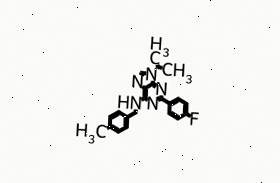 Cc1ccc(CNc2nc(-c3ccc(F)cc3)nc3c2ncn3C(C)C)cc1